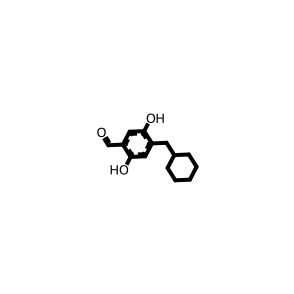 O=Cc1cc(O)c(CC2CCCCC2)cc1O